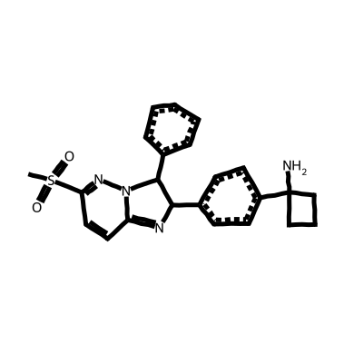 CS(=O)(=O)C1=NN2C(=NC(c3ccc(C4(N)CCC4)cc3)C2c2ccccc2)C=C1